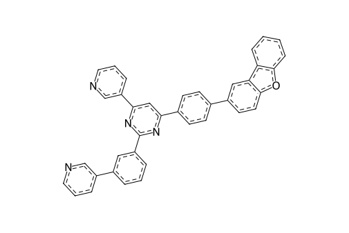 c1cncc(-c2cccc(-c3nc(-c4ccc(-c5ccc6oc7ccccc7c6c5)cc4)cc(-c4cccnc4)n3)c2)c1